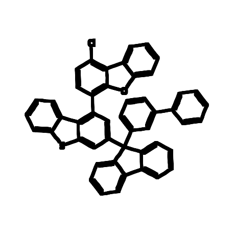 Clc1ccc(-c2cc(C3(c4cccc(-c5ccccc5)c4)c4ccccc4-c4ccccc43)cc3sc4ccccc4c23)c2oc3ccccc3c12